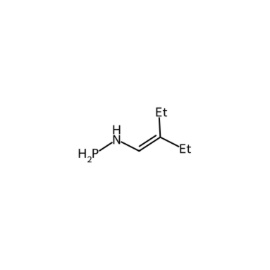 CCC(=CNP)CC